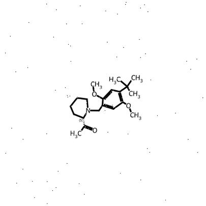 COc1cc(C(C)(C)C)c(OC)cc1CN1CCCC[C@H]1C(C)=O